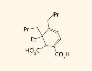 CCC1(CC(C)C)C(CC(C)C)=CC=C(C(=O)O)C1C(=O)O